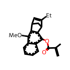 C=C(C)C(=O)Oc1c2c(c(OC)c3ccccc13)C1C=C(CC)C2C1